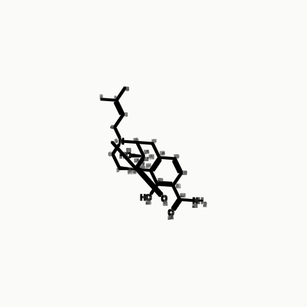 CC(C)=CCN1CC[C@]23CC(=O)CC[C@@]2(O)C1Cc1ccc(C(N)=O)c(O)c13